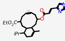 CCOC(=O)C1C/C=C\CC(OC(=O)C=Cc2cn(C)cn2)CC2C(C)=CCC(C(C)C)C2C1